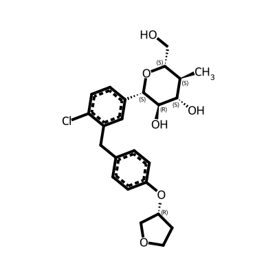 C[C@H]1[C@H](O)[C@@H](O)[C@H](c2ccc(Cl)c(Cc3ccc(O[C@@H]4CCOC4)cc3)c2)O[C@@H]1CO